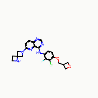 Fc1c(Nc2ncnc3ccc(N4CC5(CCN5)C4)nc23)ccc(OCC2COC2)c1Cl